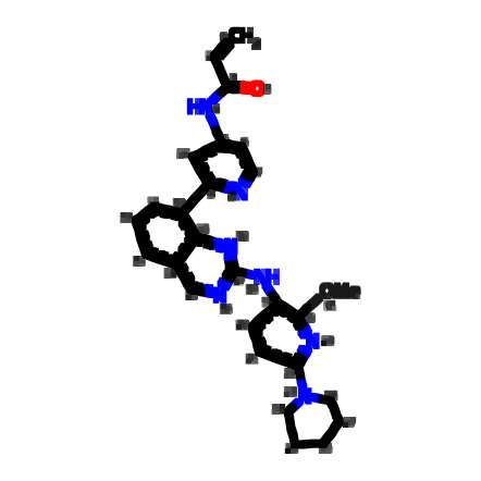 C=CC(=O)Nc1ccnc(-c2cccc3cnc(Nc4ccc(N5CCCCC5)nc4OC)nc23)c1